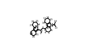 CC(CC1CCCc2c1c1c(n2C(C)C)CCCC1)c1c2c(c3n1CCCC3)CCCC2